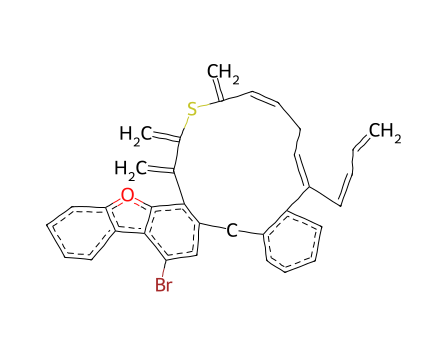 C=C/C=C\C1=C/C/C=C\C(=C)SC(=C)C(=C)c2c(cc(Br)c3c2oc2ccccc23)Cc2ccccc21